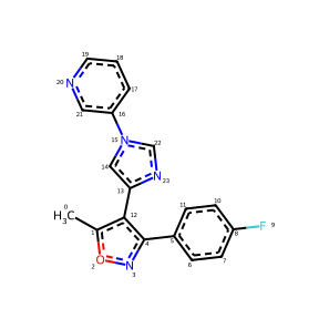 Cc1onc(-c2ccc(F)cc2)c1-c1cn(-c2cccnc2)cn1